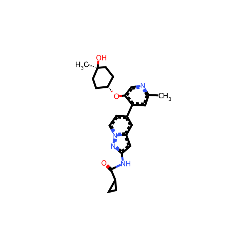 Cc1cc(-c2ccn3nc(NC(=O)C4CC4)cc3c2)c(O[C@H]2CC[C@](C)(O)CC2)cn1